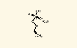 C=CCOS(=O)(=O)O.[CsH]